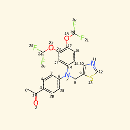 CC(=O)c1ccc(N(Cc2cncs2)c2ccc(OC(F)F)c(OC(F)F)c2)cc1